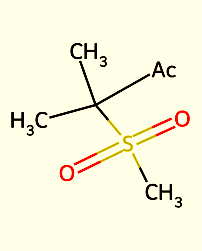 CC(=O)C(C)(C)S(C)(=O)=O